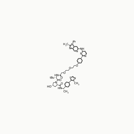 Cc1ncsc1-c1ccc([C@H](C)NC(=O)[C@H]2C[C@H](O)CN2C(=O)[C@@H](NC(=O)COCCOCCOc2ccc(-c3nccc(Nc4cc5c(cn4)nc(C)n5C(C)C)n3)cc2)C(C)(C)C)cc1